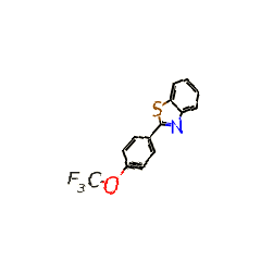 FC(F)(F)Oc1ccc(-c2nc3ccccc3s2)cc1